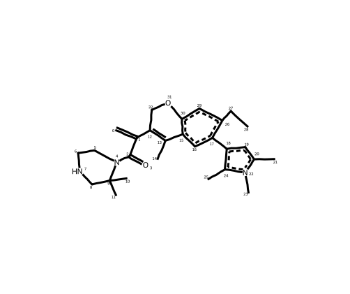 C=C(C(=O)N1CCNCC1(C)C)C1=C(C)c2cc(-c3cc(C)n(C)c3C)c(CC)cc2OC1